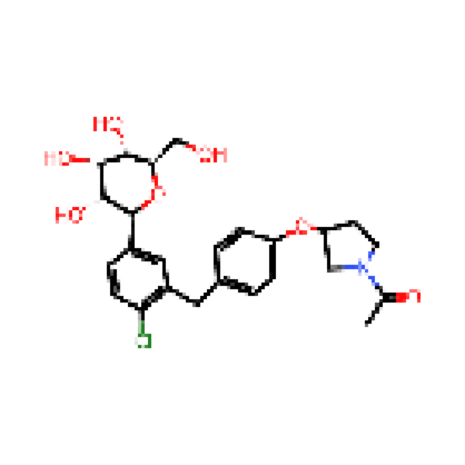 CC(=O)N1CCC(Oc2ccc(Cc3cc([C@@H]4O[C@H](CO)[C@@H](O)[C@H](O)[C@H]4O)ccc3Cl)cc2)C1